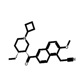 CC[C@@H]1CCN(C2CCC2)C[C@@H]1C(=O)c1ccc2c(CC#N)c(OC)ccc2c1